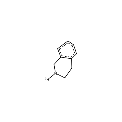 [3H]N1CCc2ccccc2C1